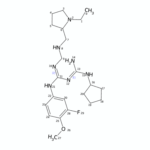 CCN1CCCC1CNC/N=C(\N=C(/N)NC1CCCC1)Nc1ccc(OC)c(F)c1